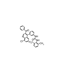 Cc1cccc(C)c1NC(=O)Nc1cccc(-c2c(C(=O)c3ccccc3)cnc3c(Cl)cccc23)c1